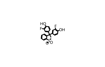 CC(c1ccc(O)c(F)c1)(c1ccc(O)c(F)c1)c1ccccc1S(=O)(=O)I